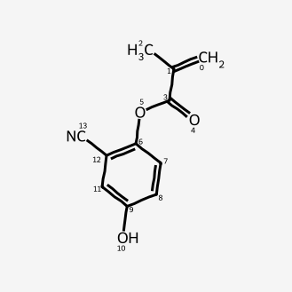 C=C(C)C(=O)Oc1ccc(O)cc1C#N